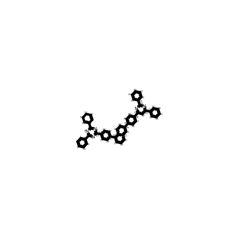 C1=CC(c2nc(-c3ccccc3)nc(-c3ccc(-c4cccc5cc(-c6ccc(-c7cc(-c8ccccc8)nc(-c8ccccc8)n7)cc6)ccc45)cc3)n2)=CCC1